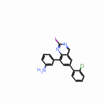 Nc1cccc(-c2cc(-c3ccccc3Cl)cc3cnc(I)nc23)c1